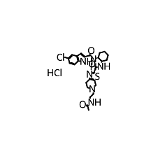 CC(=O)NCCN1CCc2nc(C(=O)N[C@@H]3CCCC[C@@H]3NC(=O)c3cc4cc(Cl)ccc4[nH]3)sc2C1.Cl